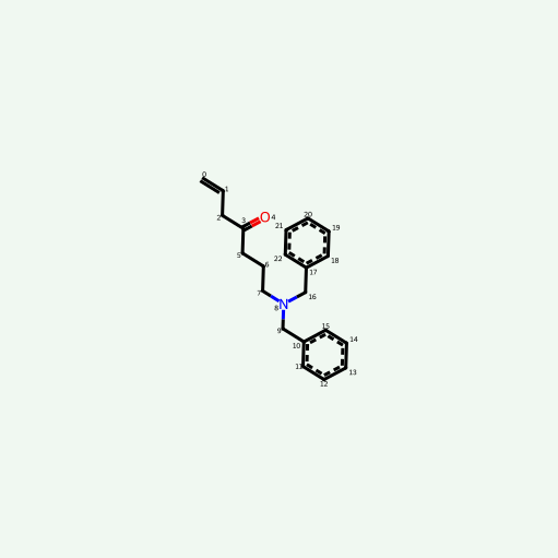 C=CCC(=O)CCCN(Cc1ccccc1)Cc1ccccc1